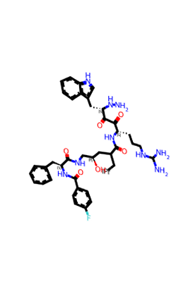 CC(C)CC(C[C@@H](O)CNC(=O)[C@H](Cc1ccccc1)NC(=O)c1ccc(F)cc1)C(=O)N[C@@H](CCCNC(N)N)C(=O)C(=O)[C@H](Cc1c[nH]c2ccccc12)NN